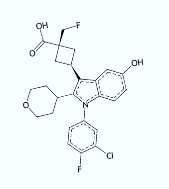 O=C(O)[C@]1(CF)C[C@@H](c2c(C3CCOCC3)n(-c3ccc(F)c(Cl)c3)c3ccc(O)cc32)C1